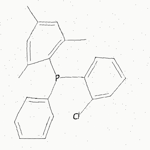 Cc1cc(C)c(P(c2ccccc2)c2ccccc2Cl)c(C)c1